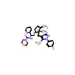 C=C1CC[C@H](CC(NC(=O)N2CCOCC2)c2ccccn2)[C@@]1(C)Cc1cnn(-c2ccc(F)cc2)c1C